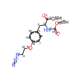 COC(=O)C(Cc1ccc(OCCN=[N+]=[N-])cc1)NC(=O)OC(C)(C)C